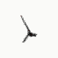 CCCCCCCCCCCCCCCCCCCCOC[C@H](COP(=O)([O-])OCC[N+](C)(C)C)OC(=O)CCCCCCCCCCC